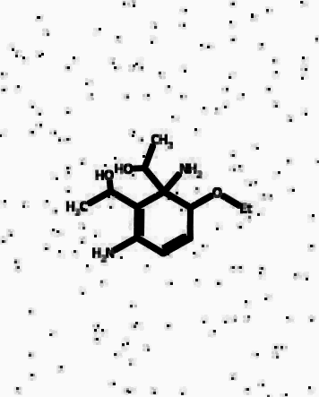 CCOC1C=CC(N)=C(C(C)O)C1(N)C(C)O